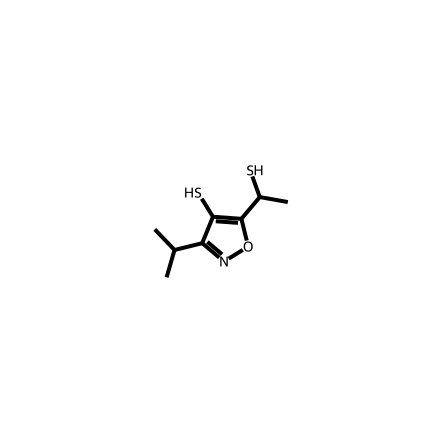 CC(C)c1noc(C(C)S)c1S